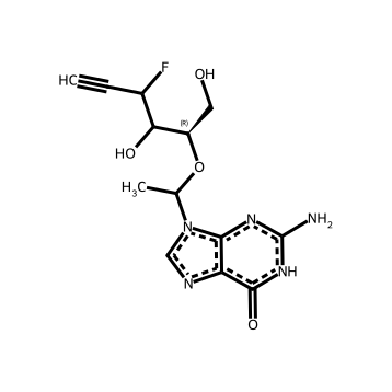 C#CC(F)C(O)[C@@H](CO)OC(C)n1cnc2c(=O)[nH]c(N)nc21